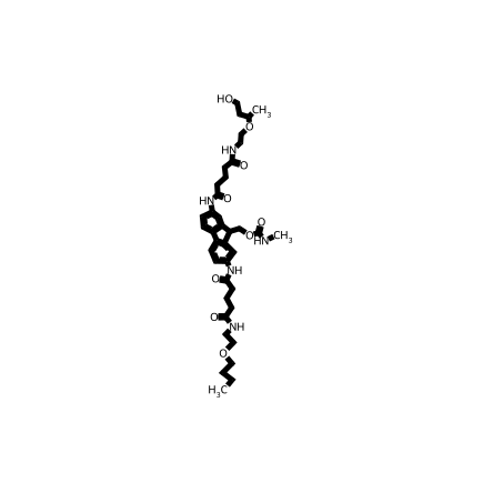 CCCCOCCNC(=O)CCCC(=O)Nc1ccc2c(c1)C(COC(=O)NC)c1cc(NC(=O)CCCC(=O)NCCOC(C)CCO)ccc1-2